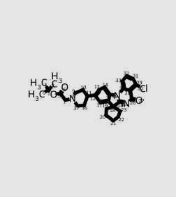 CC(C)(C)OC(=O)CN1CCC(c2ccc3c(c2)C2(CCCCC2)c2nc(=O)c4c(Cl)cccc4n2-3)CC1